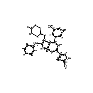 CC1CCC(Cn2c(Nc3ccccc3)nc3cc(-c4noc(=O)[nH]4)nc(-c4cncc(Cl)c4)c32)CC1